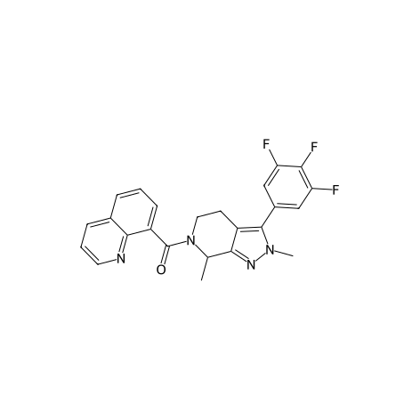 CC1c2nn(C)c(-c3cc(F)c(F)c(F)c3)c2CCN1C(=O)c1cccc2cccnc12